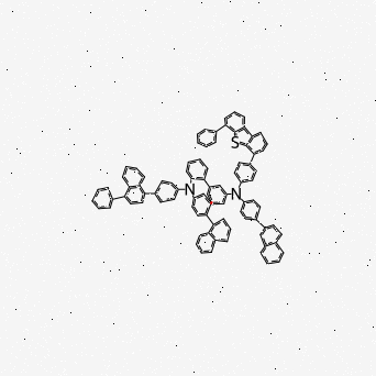 c1ccc(-c2ccc(-c3ccc(N(c4ccc(-c5cccc6ccccc56)cc4)c4ccccc4-c4cccc(N(c5ccc(-c6ccc7ccccc7c6)cc5)c5ccc(-c6cccc7c6sc6c(-c8ccccc8)cccc67)cc5)c4)cc3)c3ccccc23)cc1